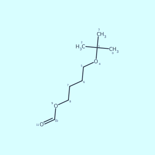 CC(C)(C)OCCCCO[C]=O